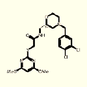 COc1cc(OC)nc(SCC(=O)NC[C@H]2CN(Cc3ccc(Cl)c(Cl)c3)CCO2)n1